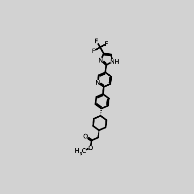 COC(=O)C[C@H]1CC[C@H](c2ccc(-c3ccc(-c4nc(C(F)(F)F)c[nH]4)cn3)cc2)CC1